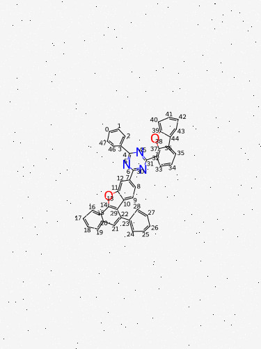 c1ccc(-c2nc(-c3ccc4c(c3)oc3c5ccccc5cc(-c5ccccc5)c43)nc(-c3cccc4c3oc3ccccc34)n2)cc1